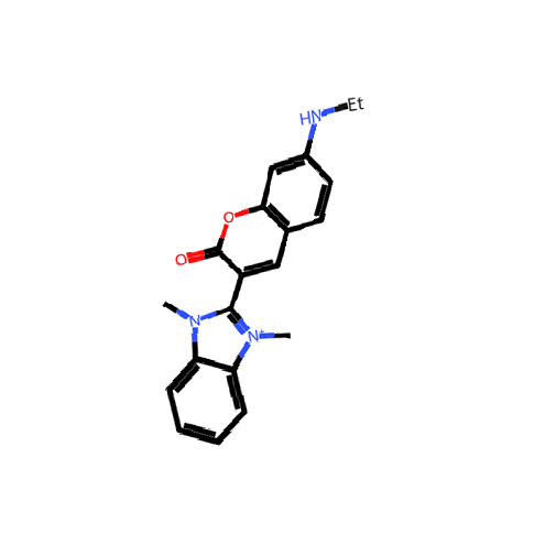 CCNc1ccc2cc(-c3n(C)c4ccccc4[n+]3C)c(=O)oc2c1